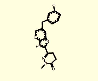 CN1N=C(c2nc3cc(Cc4cccc(Cl)c4)cnc3[nH]2)CCC1=O